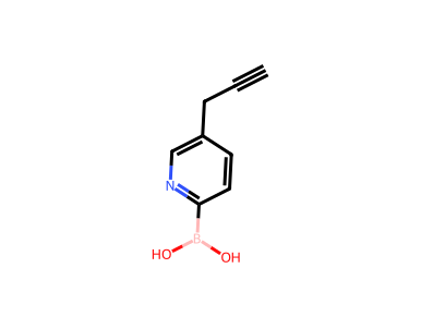 C#CCc1ccc(B(O)O)nc1